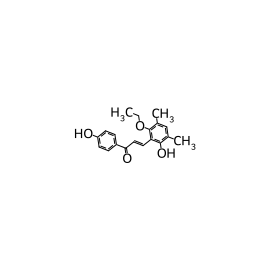 CCOc1c(C)cc(C)c(O)c1C=CC(=O)c1ccc(O)cc1